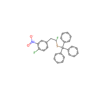 O=[N+]([O-])c1cc(CC(F)S[Si](c2ccccc2)(c2ccccc2)c2ccccc2)ccc1F